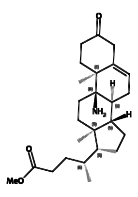 COC(=O)CC[C@@H](C)[C@H]1CC[C@H]2[C@@H]3CC=C4CC(=O)CC[C@]4(C)[C@@]3(N)CC[C@]12C